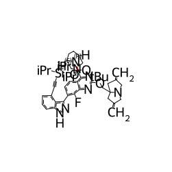 C=C1CN2CC(=C)CC2(COc2nc(N3C[C@H]4CC[C@@H](C3)N4C(=O)OC(C)(C)C)c3ccc(-c4n[nH]c5cccc(C#C[Si](C(C)C)(C(C)C)C(C)C)c45)c(F)c3n2)C1